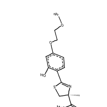 CCCOCCOc1ccc(C2=N[C@@](C)(C(=O)OC)CS2)c(O)c1